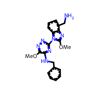 COc1nnc(-n2c(OC)nc3c(CN)cccc32)nc1NCc1ccccc1